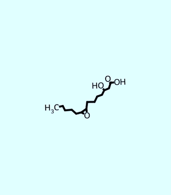 CCCCCC1OC1CCCCC(O)CC(=O)O